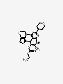 CCOC(=O)OC1=C(C)Nc2nc(N3CCOCC3)nc(N3CCOCC3)c2C1c1cccs1